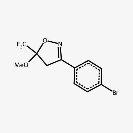 COC1(C(F)(F)F)CC(c2ccc(Br)cc2)=NO1